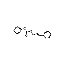 O=C(OCC=Cc1ccccc1)Oc1ccccc1